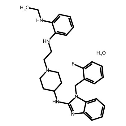 CCNc1ccccc1NCCN1CCC(Nc2nc3ccccc3n2Cc2ccccc2F)CC1.O